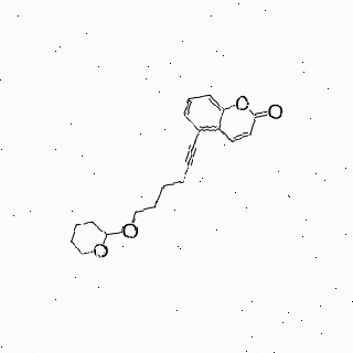 O=c1ccc2c(C#CCCCCOC3CCCCO3)cccc2o1